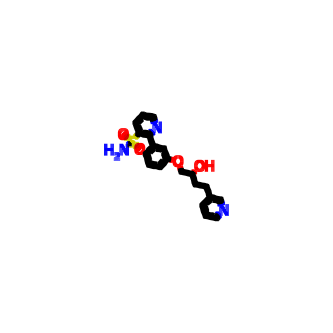 NS(=O)(=O)c1cccnc1-c1cccc(OCC(O)CCc2cccnc2)c1